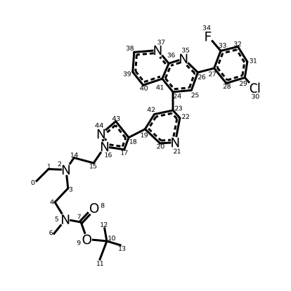 CCN(CCN(C)C(=O)OC(C)(C)C)CCn1cc(-c2cncc(-c3cc(-c4cc(Cl)ccc4F)nc4ncccc34)c2)cn1